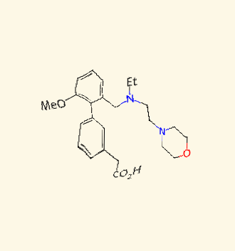 CCN(CCN1CCOCC1)Cc1cccc(OC)c1-c1cccc(CC(=O)O)c1